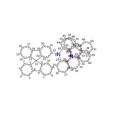 c1ccc2c(c1)-c1ccccc1C21c2ccccc2-c2ccc(N(c3ccccc3-n3c4ccccc4c4ccccc43)c3cccc4c5ccccc5c5ccccc5c34)cc21